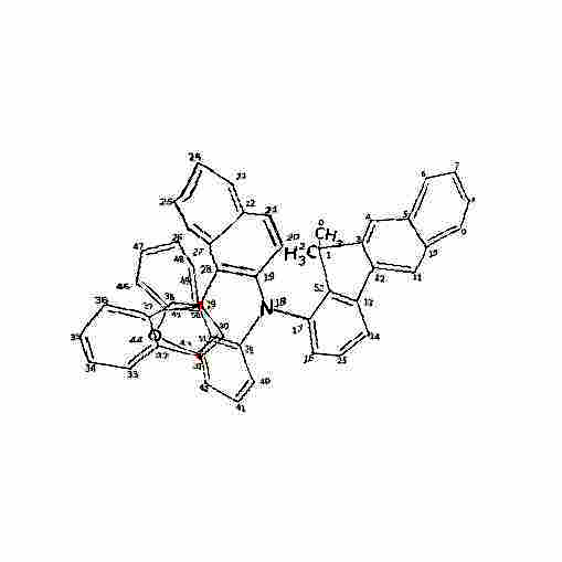 CC1(C)c2cc3ccccc3cc2-c2cccc(N(c3ccc4ccccc4c3-c3ccc4ccccc4c3)c3cccc4oc5ccccc5c34)c21